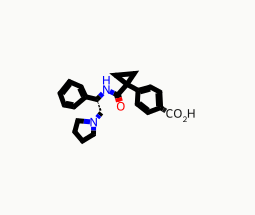 O=C(O)c1ccc(C2(C(=O)N[C@H](CN3CCCC3)c3ccccc3)CC2)cc1